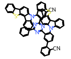 N#Cc1ccc(-n2c3ccccc3c3c4sc5ccccc5c4ccc32)c(-c2nc(-c3ccccc3)nc(-c3cc(-c4ccccc4C#N)ccc3-n3c4ccccc4c4c5sc6ccccc6c5ccc43)n2)c1